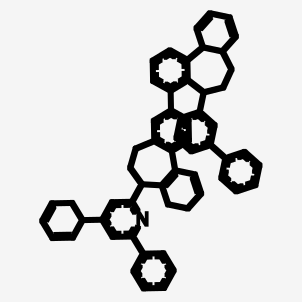 C1=CCC(c2cc(-c3ccccc3)nc(C3CCc4cc(-c5cccc6c5C(c5cccc(-c7ccccc7)c5)CCC5C=CC=CC65)ccc4C4=C3CCC=C4)c2)C=C1